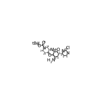 COc1cc(-c2ccnc(Cl)n2)cc(N)c1OC1CCN(C(=O)OC(C)(C)C)CC1